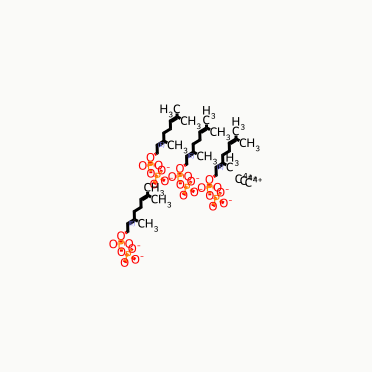 CC(C)=CCC/C(C)=C/COP(=O)([O-])OP(=O)([O-])[O-].CC(C)=CCC/C(C)=C/COP(=O)([O-])OP(=O)([O-])[O-].CC(C)=CCC/C(C)=C/COP(=O)([O-])OP(=O)([O-])[O-].CC(C)=CCC/C(C)=C/COP(=O)([O-])OP(=O)([O-])[O-].[C+4].[C+4].[C+4]